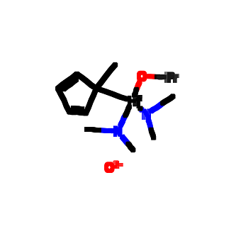 CC(C)[O][Hf]([N](C)C)([N](C)C)[C]1(C)C=CC=C1.[O-2]